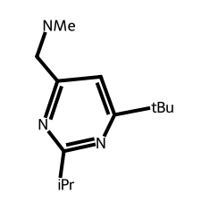 CNCc1cc(C(C)(C)C)nc(C(C)C)n1